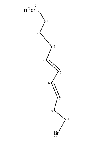 CCCCCCCCC=CC=CCCBr